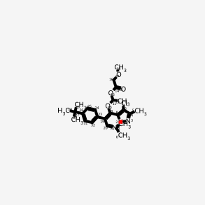 CCn1nc(C)c(Cl)c1/C(OC(C)OC(=O)COC)=C(\C=N/C)c1ccc(C(C)(C)C)cc1